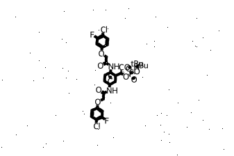 CC(C)(C)OP(=O)(O[C@H](C(=O)O)C1CC2(NC(=O)COc3ccc(Cl)c(F)c3)CCC1(NC(=O)COc1ccc(Cl)c(F)c1)CC2)OC(C)(C)C